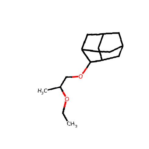 CCOC(C)COC1C2CC3CC(C2)CC1C3